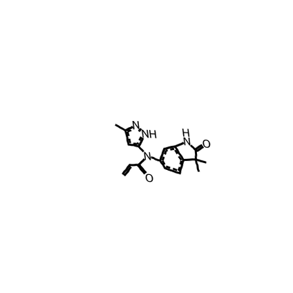 C=CC(=O)N(c1ccc2c(c1)NC(=O)C2(C)C)c1cc(C)n[nH]1